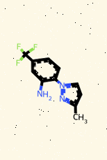 Cc1ccn(-c2ccc(C(F)(F)F)cc2N)n1